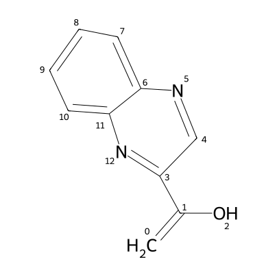 C=C(O)c1cnc2ccccc2n1